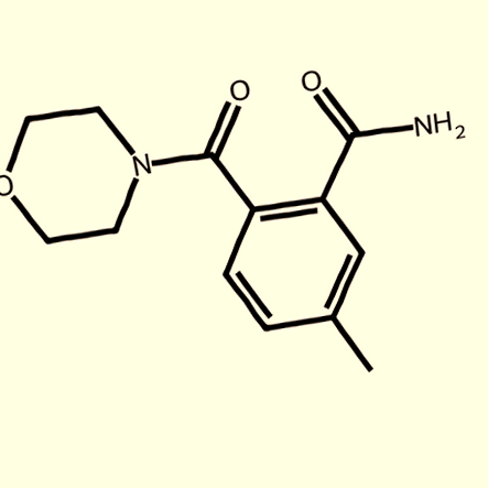 Cc1ccc(C(=O)N2CCOCC2)c(C(N)=O)c1